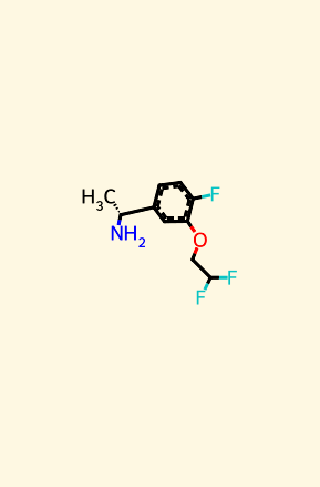 C[C@@H](N)c1ccc(F)c(OCC(F)F)c1